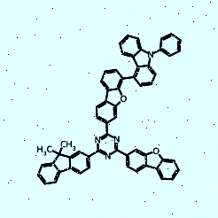 CC1(C)c2ccccc2-c2ccc(-c3nc(-c4ccc5c(c4)oc4ccccc45)nc(-c4ccc5c(c4)oc4c(-c6cccc7c6c6ccccc6n7-c6ccccc6)cccc45)n3)cc21